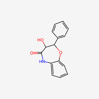 O=C1Nc2ccccc2OC(c2ccccc2)C1O